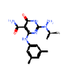 Cc1cc(C)cc(Nc2nc(N(N)[C@H](C)C(C)C)[nH]c(=O)c2C(N)=O)c1